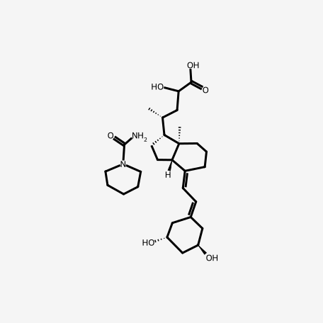 C[C@H](CC(O)C(=O)O)[C@H]1CC[C@H]2C(=CC=C3C[C@@H](O)C[C@H](O)C3)CCC[C@]12C.NC(=O)N1CCCCC1